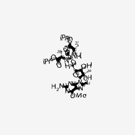 COc1nc(N)nc2c1nc(I)n2[C@@H]1O[C@H](COP(=O)(N[C@@H](C)C(=O)OC(C)C)N[C@@H](C)C(=O)OC(C)C)[C@@H](O)[C@@]1(C)O